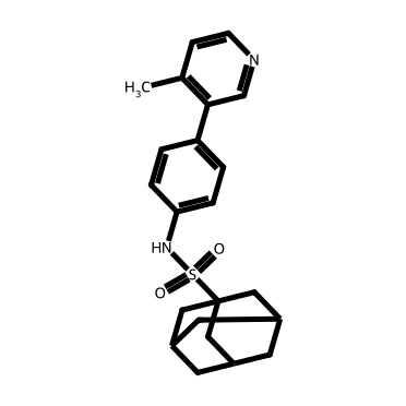 Cc1ccncc1-c1ccc(NS(=O)(=O)C23CC4CC(CC(C4)C2)C3)cc1